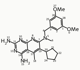 COc1cc(CN(C)c2nc3nc(N)nc(N)c3c(C)c2C2CCCC2)cc(OC)c1